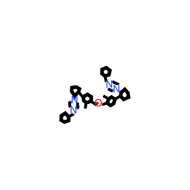 Cc1cc(-c2ccccc2N2CCN(Cc3ccccc3)CC2)ccc1COCc1ccc(-c2ccccc2N2CCN(Cc3ccccc3)CC2)cc1C